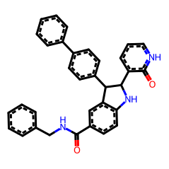 O=C(NCc1ccccc1)c1ccc2c(c1)C(c1ccc(-c3ccccc3)cc1)C(c1ccc[nH]c1=O)N2